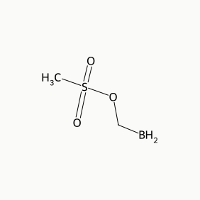 BCOS(C)(=O)=O